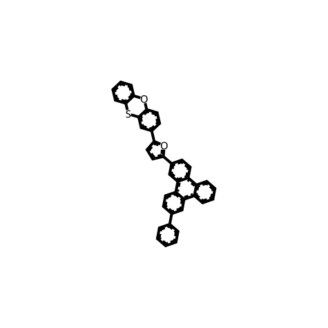 c1ccc(-c2ccc3c(c2)c2ccccc2c2ccc(-c4ccc(-c5ccc6c(c5)Sc5ccccc5O6)o4)cc23)cc1